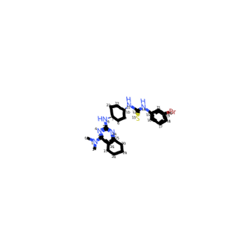 CN(C)c1nc(N[C@H]2CC[C@@H](NC(=S)Nc3cccc(Br)c3)CC2)nc2c1CCCC2